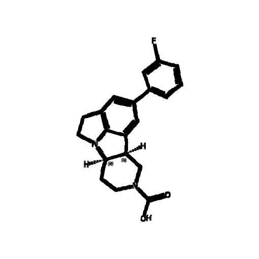 O=C(O)N1CC[C@@H]2[C@H](C1)c1cc(-c3cccc(F)c3)cc3c1N2CC3